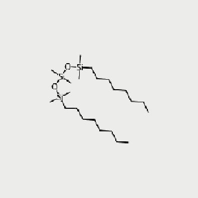 CCCCCCCC[Si](C)(C)O[Si](C)(C)O[Si](C)(C)CCCCCCCC